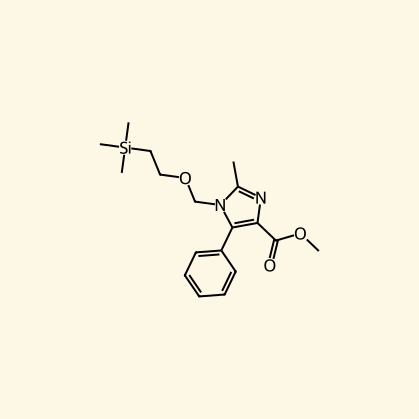 COC(=O)c1nc(C)n(COCC[Si](C)(C)C)c1-c1ccccc1